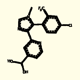 Cn1cnc(-c2cc(C(O)O)ccn2)c1-c1ccc(Cl)cc1C(F)(F)F